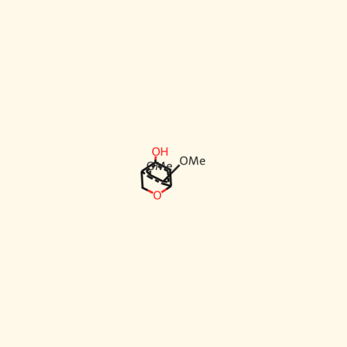 COc1c2cc(O)c(c1OC)CO2